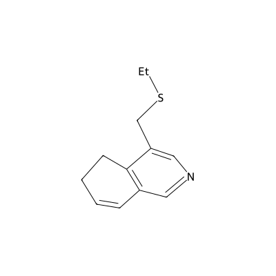 CCSCc1cncc2c1CCC=C2